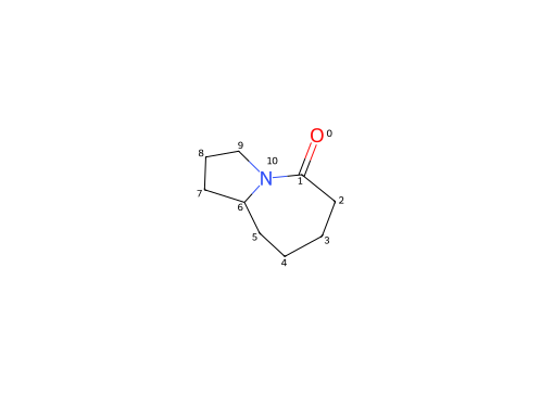 O=C1CCCCC2CCCN12